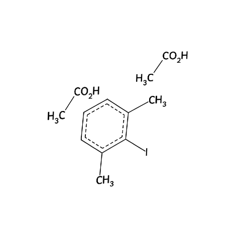 CC(=O)O.CC(=O)O.Cc1cccc(C)c1I